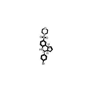 O=S(=O)(c1ccc2c(c1)[C@H]1C=CC[C@H]1[C@@H](c1ccc(Br)cc1)N2)N1CCOCC1